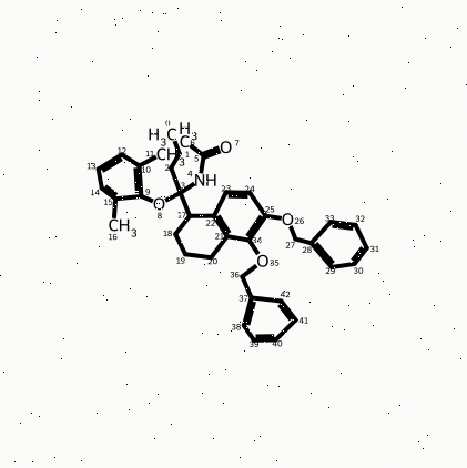 CCCC(NC(C)=O)(Oc1c(C)cccc1C)C1CCCc2c1ccc(OCc1ccccc1)c2OCc1ccccc1